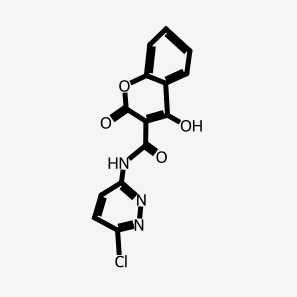 O=C(Nc1ccc(Cl)nn1)c1c(O)c2ccccc2oc1=O